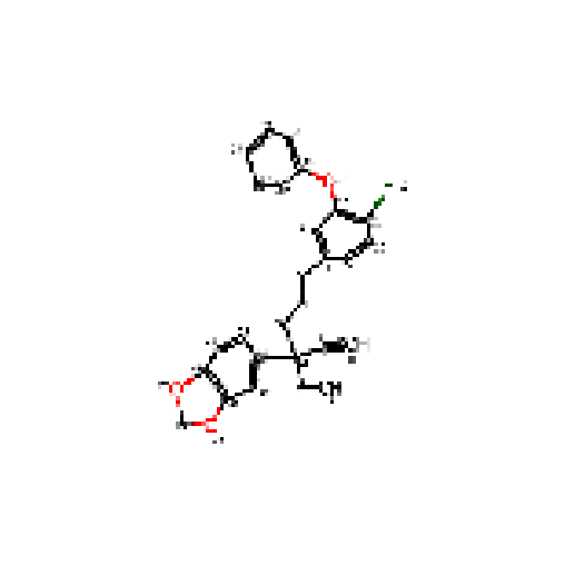 C#CC(CC)(CCCc1ccc(F)c(Oc2ccccc2)c1)c1ccc2c(c1)OCO2